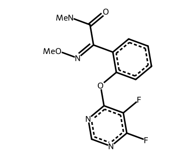 CNC(=O)C(=NOC)c1ccccc1Oc1ncnc(F)c1F